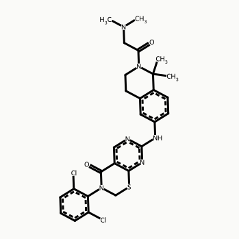 CN(C)CC(=O)N1CCc2cc(Nc3ncc4c(n3)SCN(c3c(Cl)cccc3Cl)C4=O)ccc2C1(C)C